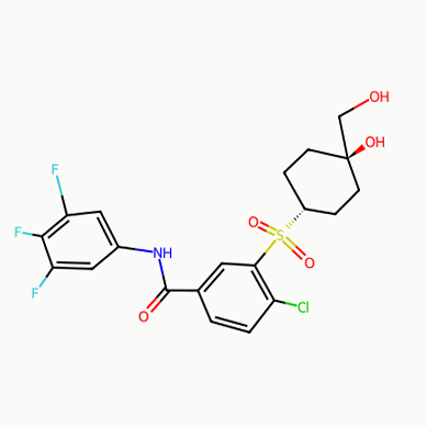 O=C(Nc1cc(F)c(F)c(F)c1)c1ccc(Cl)c(S(=O)(=O)[C@H]2CC[C@@](O)(CO)CC2)c1